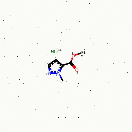 CCOC(=O)c1ccnn1C.Cl